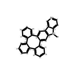 Cn1c2ccncc2c2cc3c(cc21)-c1ccccc1-c1ccccc1-c1ccccc1-3